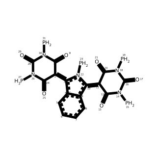 O=C1C(=c2c3ccccc3c(=C3C(=O)N(P)C(=O)N(P)C3=O)n2P)C(=O)N(P)C(=O)N1P